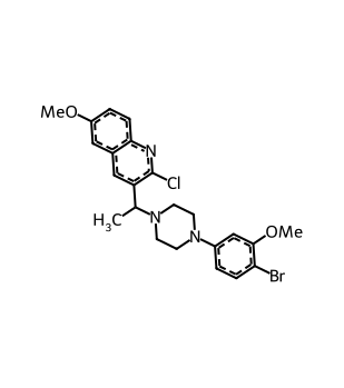 COc1ccc2nc(Cl)c(C(C)N3CCN(c4ccc(Br)c(OC)c4)CC3)cc2c1